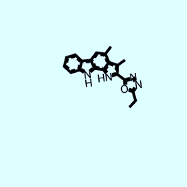 CCc1nnc(-c2[nH]c3c(c(C)cc4c5ccccc5[nH]c43)c2C)o1